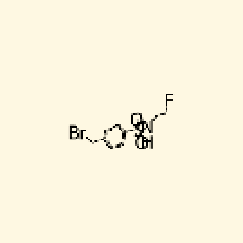 O=S(=O)(NCCF)c1ccc(CBr)cc1